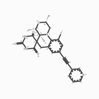 C[C@@H]1CN2c3c(F)cc(C#Cc4cccnc4)cc3CC3(C(=O)NC(=O)NC3=O)[C@H]2[C@H](C)O1